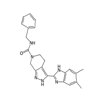 Cc1cc2nc(-c3[nH]nc4c3CCN(C(=O)NCc3ccccc3)C4)[nH]c2cc1C